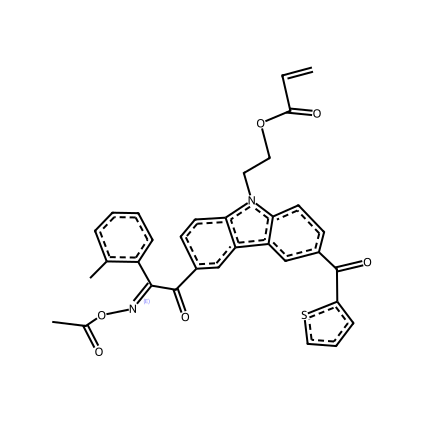 C=CC(=O)OCCn1c2ccc(C(=O)/C(=N/OC(C)=O)c3ccccc3C)cc2c2cc(C(=O)c3cccs3)ccc21